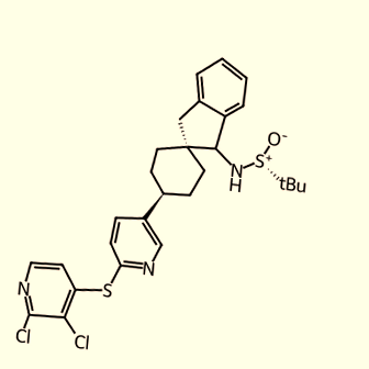 CC(C)(C)[S@@+]([O-])NC1c2ccccc2C[C@]12CC[C@H](c1ccc(Sc3ccnc(Cl)c3Cl)nc1)CC2